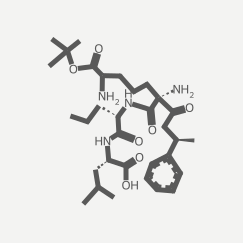 CCC[C@H](NC(=O)[C@@](N)(CCCC(N)C(=O)OC(C)(C)C)C(=O)C[C@@H](C)c1ccccc1)C(=O)N[C@@H](CC(C)C)C(=O)O